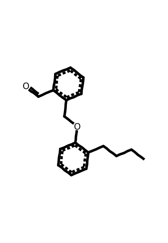 CCCCc1ccccc1OCc1ccccc1C=O